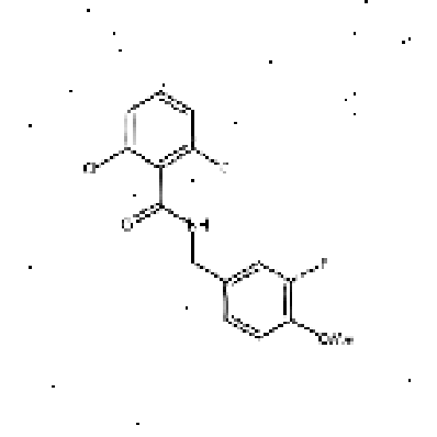 COc1ccc(CNC(=O)c2c(Cl)cccc2Cl)cc1F